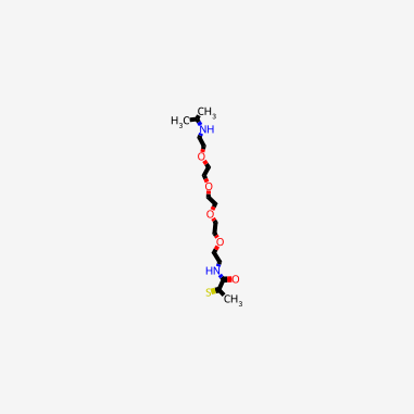 CC(=S)C(=O)NCCOCCOCCOCCOCCNC(C)C